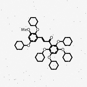 COc1cc(OC2CCCCC2)cc(C=CC(=O)c2c(OC3CCCCC3)c(OC3CCCCC3)cc(OC3CCCCC3)c2OC2CCCCC2)c1OC1CCCCC1